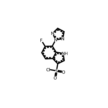 O=S(=O)(Cl)c1c[nH]c2c(-n3nccn3)c(F)ccc12